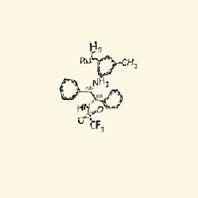 Cc1cccc(C)c1.N[C@@H](c1ccccc1)[C@@H](NS(=O)(=O)C(F)(F)F)c1ccccc1.[Ru]